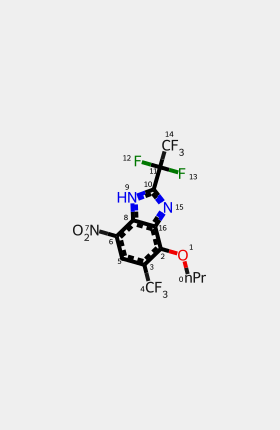 CCCOc1c(C(F)(F)F)cc([N+](=O)[O-])c2[nH]c(C(F)(F)C(F)(F)F)nc12